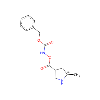 C[C@@H]1CC(C(=O)ONC(=O)OCc2ccccc2)CN1